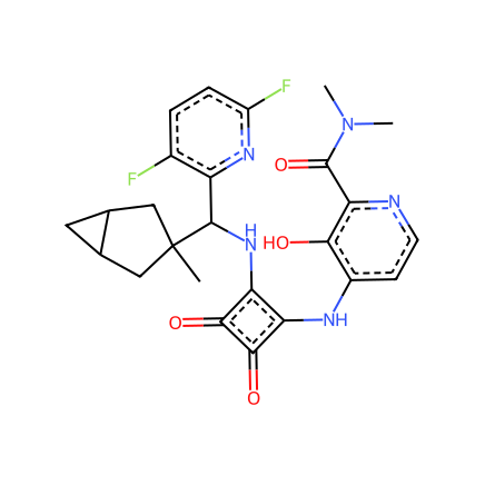 CN(C)C(=O)c1nccc(Nc2c(NC(c3nc(F)ccc3F)C3(C)CC4CC4C3)c(=O)c2=O)c1O